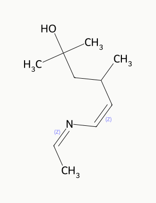 C/C=N\C=C/C(C)CC(C)(C)O